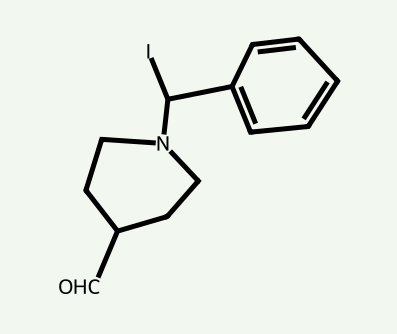 O=CC1CCN(C(I)c2ccccc2)CC1